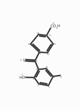 Cc1ccc(O)c(C(=S)c2ccc(C(=O)O)cc2)c1